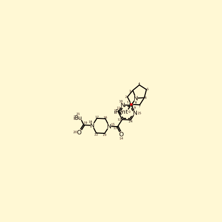 CCCC(C)N1CC2CCC(C1)N2c1ncc(C(=O)N2CCN(C(=O)C(C)CC)CC2)cn1